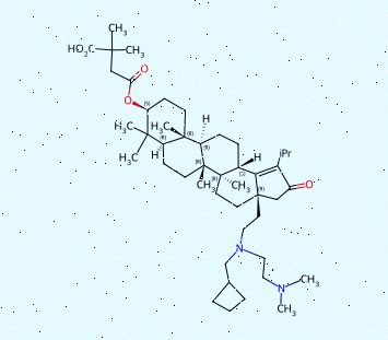 CC(C)C1=C2[C@H]3CC[C@@H]4[C@@]5(C)CC[C@H](OC(=O)CC(C)(C)C(=O)O)C(C)(C)[C@@H]5CC[C@@]4(C)[C@]3(C)CC[C@@]2(CCN(CCN(C)C)CC2CCC2)CC1=O